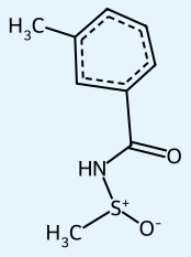 Cc1cccc(C(=O)N[S+](C)[O-])c1